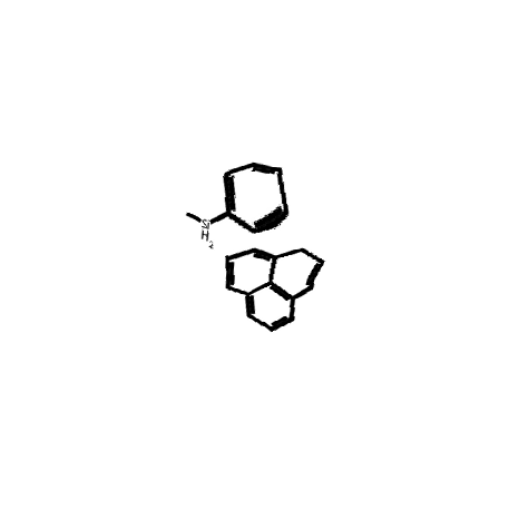 C1=Cc2cccc3cccc(c23)C1.C[SiH2]c1ccccc1